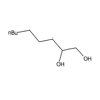 CCCCCC[CH]C(O)CO